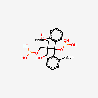 CCCCCCCCCc1ccccc1C(OP(O)O)(c1ccccc1CCCCCCCCC)C(CO)(CO)COP(O)O